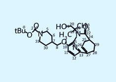 CC(C)(C)OC(=O)N1CCC(COc2ccc3nc2N(C(C)(C)CO)C(=O)C2CC=C3CC2)CC1